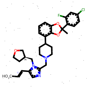 CC1(c2ccc(Cl)cc2F)Oc2cccc(C3CCN(Cc4ncc(/C=C/C(=O)O)n4C[C@H]4CCOC4)CC3)c2O1